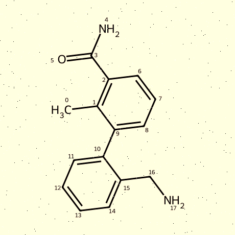 Cc1c(C(N)=O)cccc1-c1ccccc1CN